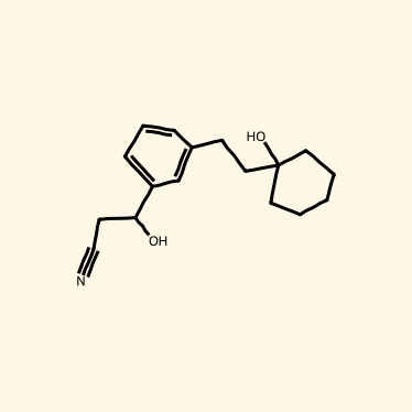 N#CCC(O)c1cccc(CCC2(O)CCCCC2)c1